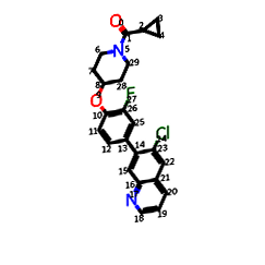 O=C(C1CC1)N1CCC(Oc2ccc(-c3cc4ncccc4cc3Cl)cc2F)CC1